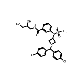 CS(=O)(=O)N(c1cccc(C(=O)NCC(O)CO)c1)C1CN(C(c2ccc(Cl)cc2)c2ccc(Cl)cc2)C1